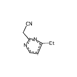 CCc1[c]cnc(CC#N)n1